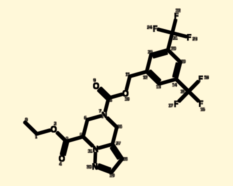 CCOC(=O)C1CN(C(=O)OCc2cc(C(F)(F)F)cc(C(F)(F)F)c2)Cc2ccnn21